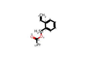 C=Cc1ccccc1[SiH2]OC(=O)C(C)C